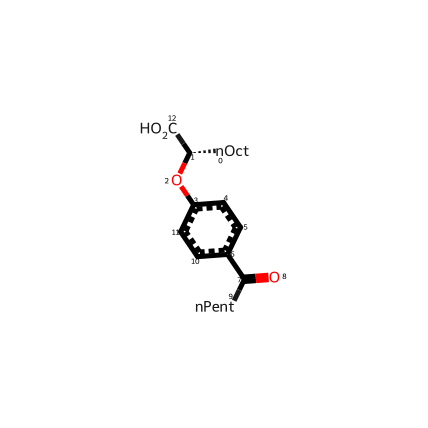 CCCCCCCC[C@H](Oc1ccc(C(=O)CCCCC)cc1)C(=O)O